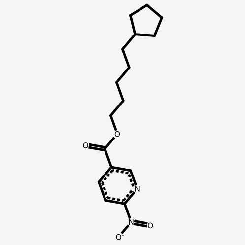 O=C(OCCCCCC1CCCC1)c1ccc([N+](=O)[O-])nc1